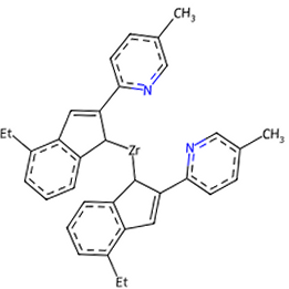 CCc1cccc2c1C=C(c1ccc(C)cn1)[CH]2[Zr][CH]1C(c2ccc(C)cn2)=Cc2c(CC)cccc21